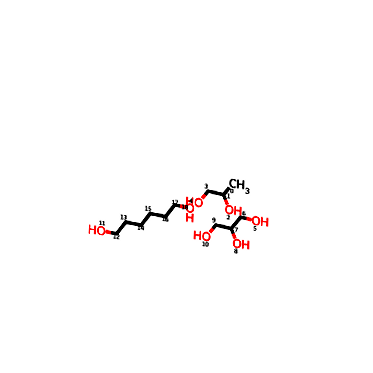 CC(O)CO.OCC(O)CO.OCCCCCCO